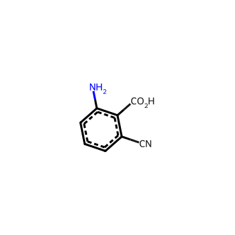 N#Cc1cccc(N)c1C(=O)O